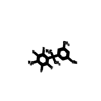 Cc1cc(C(C)(C)C)cc(C(C)(C)c2c(F)c(F)c(C(F)(F)F)c(F)c2F)c1